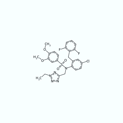 CCn1nnc(CN(c2ccc(Cl)cc2Cc2c(F)cccc2F)S(=O)(=O)c2ccc(OC)c(OC)c2)n1